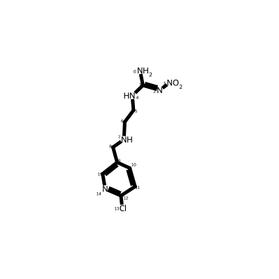 NC(=N[N+](=O)[O-])NCCNCc1ccc(Cl)nc1